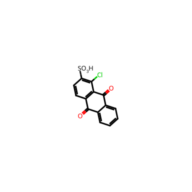 O=C1c2ccccc2C(=O)c2c1ccc(S(=O)(=O)O)c2Cl